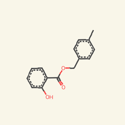 Cc1ccc(COC(=O)c2ccccc2O)cc1